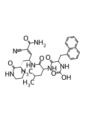 CC(C)CC(NC(=O)C(Cc1cccc2ccccc12)NC(=O)O)C(=O)NC(/C=C(\C#N)C(N)=O)C[C@@H]1CCCNC1=O